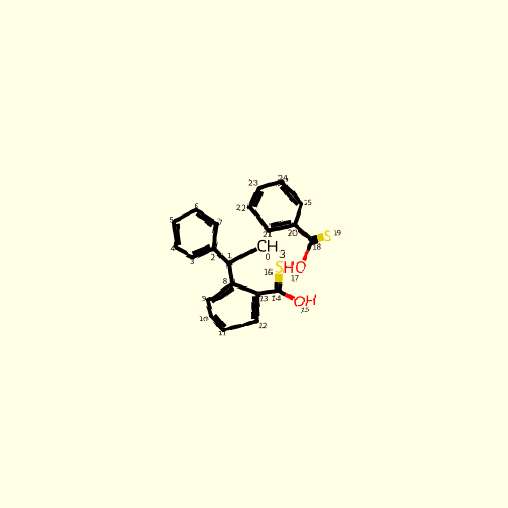 CC(c1ccccc1)c1ccccc1C(O)=S.OC(=S)c1ccccc1